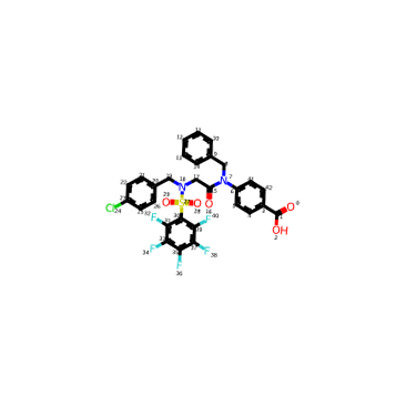 O=C(O)c1ccc(N(Cc2ccccc2)C(=O)CN(Cc2ccc(Cl)cc2)S(=O)(=O)c2c(F)c(F)c(F)c(F)c2F)cc1